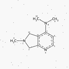 CN1Cc2nccc(N(C)C)c2C1